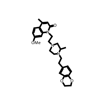 COc1ccc2c(C)cc(=O)n(CCN3CCN(CCc4ccc5c(c4)OCCO5)C(C)C3)c2c1